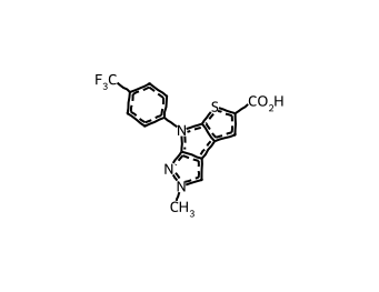 Cn1cc2c3cc(C(=O)O)sc3n(-c3ccc(C(F)(F)F)cc3)c2n1